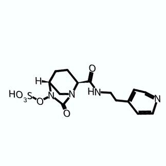 O=C(NCCc1ccncc1)[C@@H]1CC[C@@H]2CN1C(=O)N2OS(=O)(=O)O